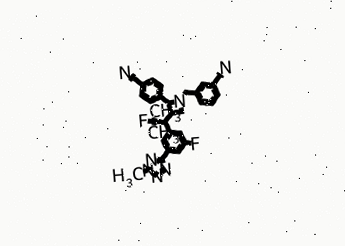 Cn1nnc(-c2cc(F)cc(C(C3CN(Cc4cccc(C#N)c4)C3c3ccc(C#N)cc3)C(C)(C)F)c2)n1